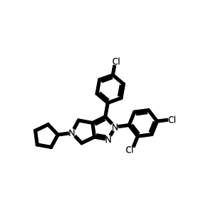 Clc1ccc(-c2c3c(nn2-c2ccc(Cl)cc2Cl)CN(C2CCCC2)C3)cc1